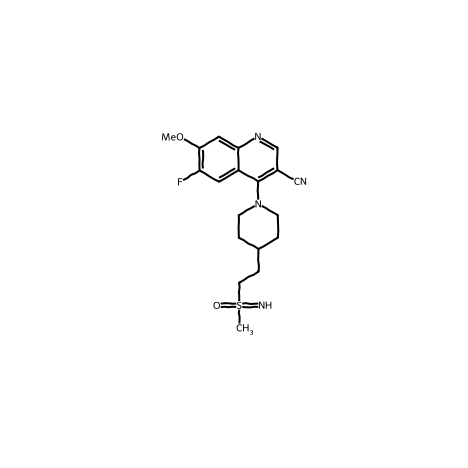 COc1cc2ncc(C#N)c(N3CCC(CCS(C)(=N)=O)CC3)c2cc1F